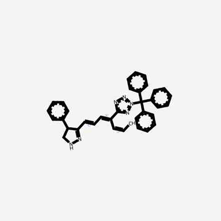 C\C=C/C(=C\C=C\C1=NNCC1c1ccccc1)c1nnn(C(c2ccccc2)(c2ccccc2)c2ccccc2)n1